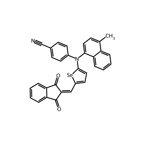 Cc1ccc(N(c2ccc(C#N)cc2)c2ccc(C=C3C(=O)c4ccccc4C3=O)[se]2)c2ccccc12